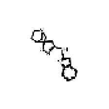 c1ccc2sc(NC3=NOC4(C3)CN3CCC4CC3)cc2c1